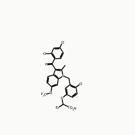 CCC(Oc1ccc(Cl)c(Cn2c(C)c(C(=O)c3ccc(Cl)cc3Cl)c3ccc(OC(F)(F)F)cc32)c1)C(=O)O